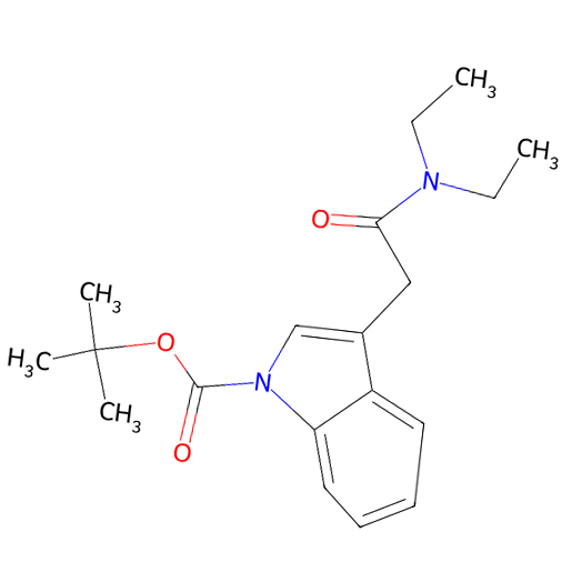 CCN(CC)C(=O)Cc1cn(C(=O)OC(C)(C)C)c2ccccc12